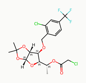 C[C@@H](OC(=O)CCl)[C@H]1O[C@@H]2OC(C)(C)O[C@@H]2[C@H]1OCc1ccc(C(F)(F)F)cc1Cl